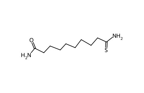 NC(=O)CCCCCCCCC(N)=S